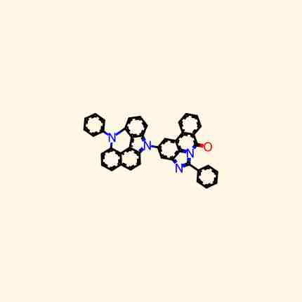 O=c1c2ccccc2c2cc(-n3c4cccc5c4c4c6c(cccc6ccc43)N5c3ccccc3)cc3nc(-c4ccccc4)n1c32